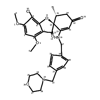 COc1cc(OC)c2c(c1Cl)O[C@]1(C2=O)C(NCc2ccc(CN3CCOCC3)cc2)=CC(=O)C[C@H]1C